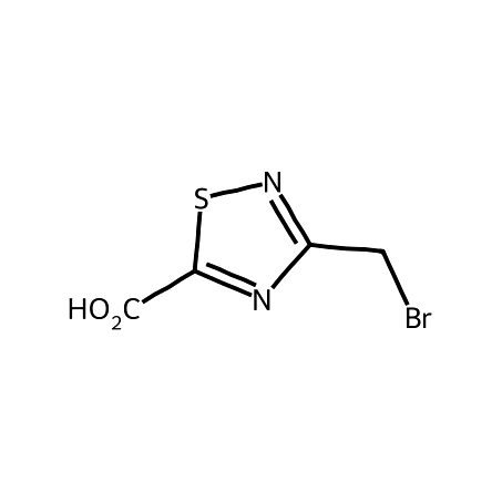 O=C(O)c1nc(CBr)ns1